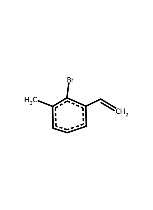 C=Cc1cccc(C)c1Br